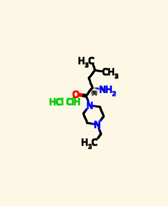 CCN1CCN(C(=O)[C@@H](N)CC(C)C)CC1.Cl.Cl